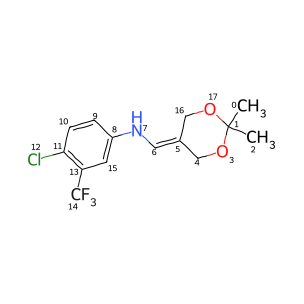 CC1(C)OCC(=CNc2ccc(Cl)c(C(F)(F)F)c2)CO1